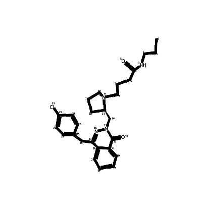 CCCNC(=O)CCCN1CCC[C@@H]1Cn1nc(Cc2ccc(Cl)cc2)c2ccccc2c1=O